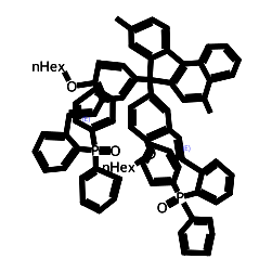 CCCCCCOc1ccc(C2(c3ccc(OCCCCCC)c(/C=C/c4ccccc4P(=O)(c4ccccc4)c4ccccc4)c3)c3cc(C)ccc3-c3c2cc(C)c2ccccc32)cc1/C=C/c1ccccc1P(=O)(c1ccccc1)c1ccccc1